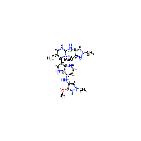 CCOc1nn(C)cc1Nc1ccnc2c(-c3nc(Nc4cn(C)nc4OC)ncc3C)c[nH]c12